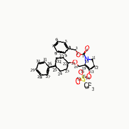 O=C(OCc1ccccc1)N1CCC(OS(=O)(=O)C(F)(F)F)=C1COC1CCC(c2ccccc2)CC1